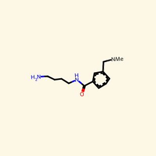 CNCc1cccc(C(=O)NCCCCN)c1